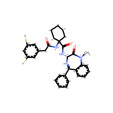 CN1C(=O)[C@@H](NC(=O)C2(NC(=O)Cc3cc(F)cc(F)c3)CCCCC2)N=C(c2ccccc2)c2ccccc21